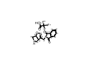 O=C(O)C(F)(F)F.O=C1c2ccccc2C(=O)N1CC1=NOC2CNCC12